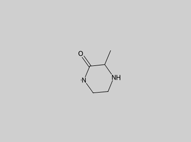 CC1NCC[N]C1=O